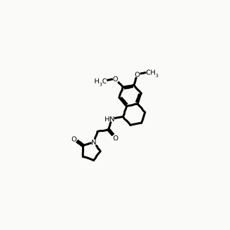 COc1cc2c(cc1OC)C(NC(=O)CN1CCCC1=O)CCC2